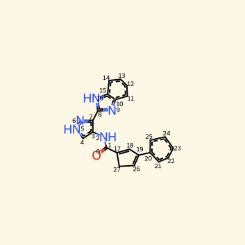 O=C(Nc1c[nH]nc1-c1nc2ccccc2[nH]1)C1=CC(c2ccccc2)=CC1